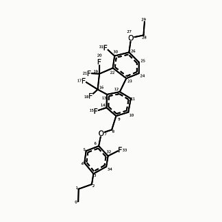 CCCc1ccc(OCc2ccc3c(c2F)C(F)(F)C(F)(F)c2c-3ccc(OCC)c2F)c(F)c1